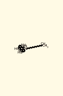 CC(C)CCCCCCCCCCCCCNc1ccc(O)c2c1C(=O)c1c(N)ccc(O)c1C2=O